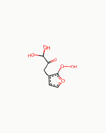 O=C(Cc1ccoc1OO)C(O)O